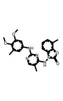 COc1cc(Nc2ncc(C)c(Nn3c(=O)oc4c(C)cccc43)n2)cc(C)c1OC